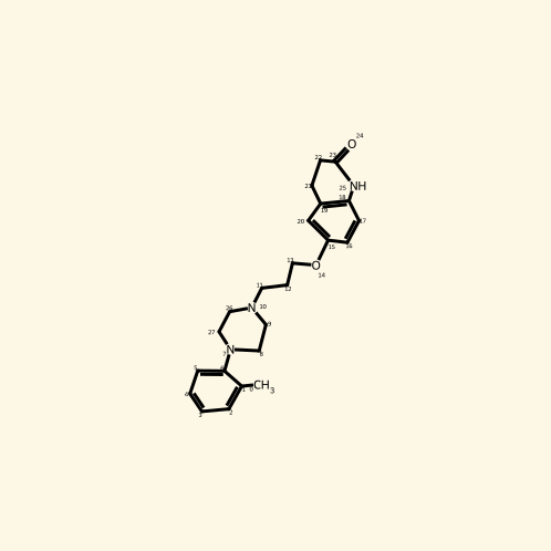 Cc1ccccc1N1CCN(CCCOc2ccc3c(c2)CCC(=O)N3)CC1